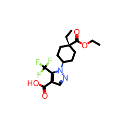 CCOC(=O)[C@]1(CC)CC[C@@H](n2ncc(C(=O)O)c2C(F)(F)F)CC1